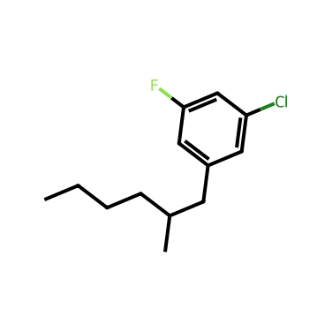 CCCCC(C)Cc1cc(F)cc(Cl)c1